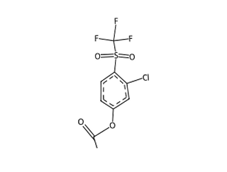 CC(=O)Oc1ccc(S(=O)(=O)C(F)(F)F)c(Cl)c1